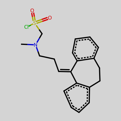 CN(CCC=C1c2ccccc2CCc2ccccc21)CS(=O)(=O)Cl